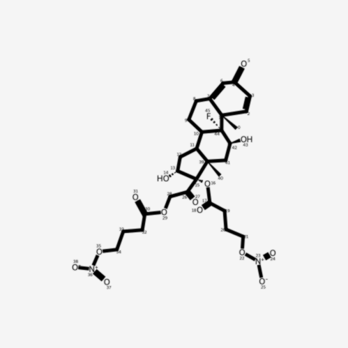 C[C@]12C=CC(=O)C=C1CCC1C3C[C@@H](O)[C@](OC(=O)CCCO[N+](=O)[O-])(C(=O)COC(=O)CCCO[N+](=O)[O-])[C@@]3(C)C[C@H](O)[C@@]12F